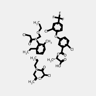 C=CCN(CC=C)C(=O)C(Cl)Cl.CCOCN(C(=O)CCl)c1c(C)cccc1CC.C[C@H](OC(=O)c1cc(Oc2ccc(C(F)(F)F)cc2Cl)ccc1Cl)C(=O)O